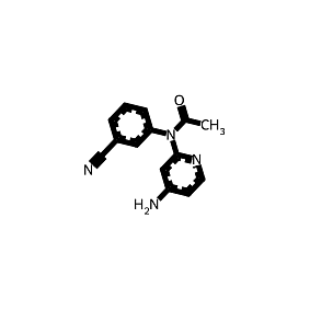 CC(=O)N(c1cccc(C#N)c1)c1cc(N)ccn1